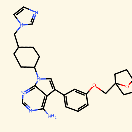 Nc1ncnc2c1c(-c1cccc(OCC34CCC(CC3)O4)c1)cn2C1CCC(Cn2ccnc2)CC1